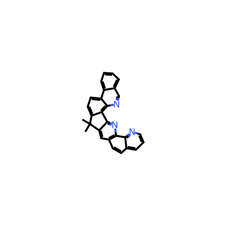 CC1(C)c2cc3ccc4cccnc4c3nc2-c2c1ccc1c2ncc2ccccc21